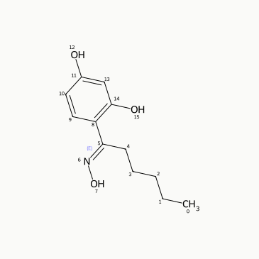 CCCCC/C(=N\O)c1ccc(O)cc1O